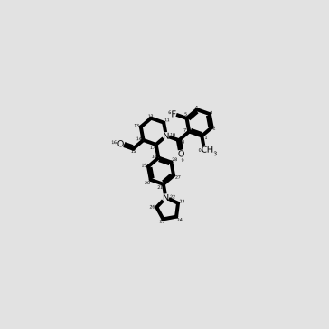 Cc1cccc(F)c1C(=O)N1CCCC(C=O)C1c1ccc(N2CCCC2)cc1